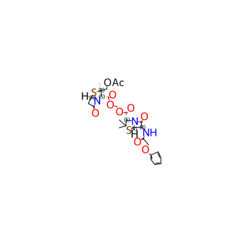 CC(=O)OC[C@]1(C)S[C@@H]2CC(=O)N2[C@H]1C(=O)OCOC(=O)[C@@H]1N2C(=O)[C@@H](NC(=O)COc3ccccc3)[C@H]2SC1(C)C